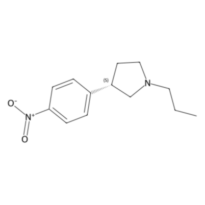 CCCN1CC[C@@H](c2ccc([N+](=O)[O-])cc2)C1